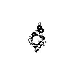 CC1CN(CCN(C)C(=O)[C@H]2/C(F)=C/C[C@H](C)[C@@H](C)S(=O)(=O)NC(=O)c3ccc4c(c3)N(C[C@@H]3CCCN32)C[C@@]2(CCCc3cc(Cl)ccc32)CO4)CC(C)O1